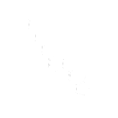 Cn1cc[n+](C)c1/N=N/c1ccc(NCCCCN)cc1